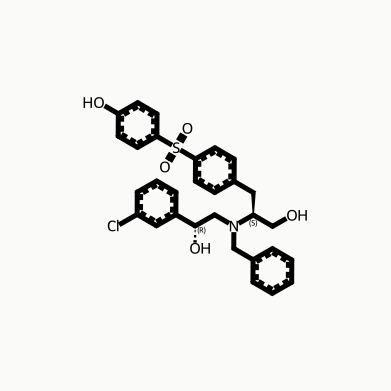 O=S(=O)(c1ccc(O)cc1)c1ccc(C[C@@H](CO)N(Cc2ccccc2)C[C@H](O)c2cccc(Cl)c2)cc1